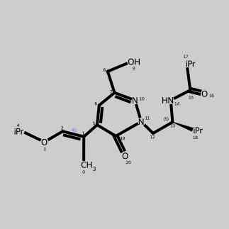 C/C(=C\OC(C)C)c1cc(CO)nn(C[C@@H](NC(=O)C(C)C)C(C)C)c1=O